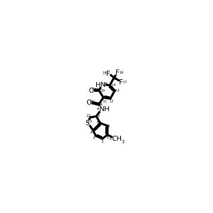 Cc1ccc2c(c1)C(NC(=O)c1ccc(C(F)(F)F)[nH]c1=O)CS2